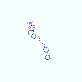 CNC(=O)OC1=Nc2cc(OCCCCN3CCN(c4cccc(Cl)c4Cl)CC3)ccc2CC1